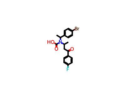 CC(CC(=O)c1ccc(F)cc1)N(C(=O)O)C(C)c1ccc(Br)cc1